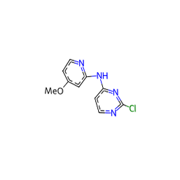 COc1ccnc(Nc2ccnc(Cl)n2)c1